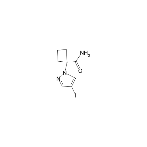 NC(=O)C1(n2cc(I)cn2)CCC1